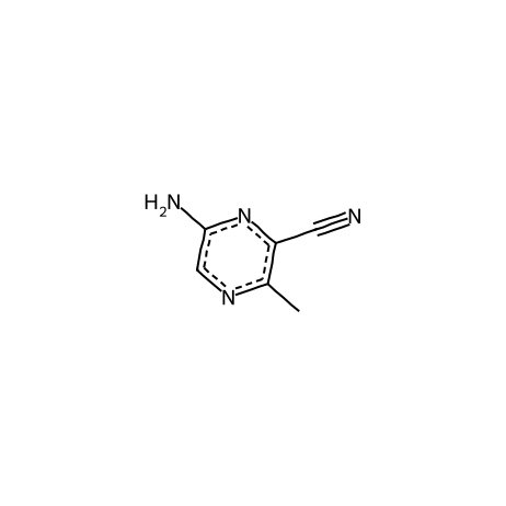 Cc1ncc(N)nc1C#N